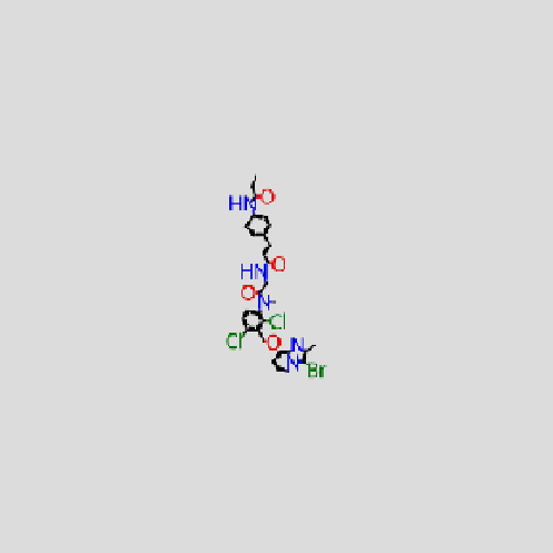 CCC(=O)Nc1ccc(C=CC(=O)NCC(=O)N(C)c2ccc(Cl)c(COc3cccn4c(Br)c(C)nc34)c2Cl)cc1